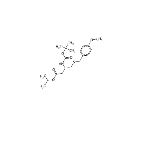 COc1ccc(CSC[C@H](CC(=O)OC(C)C)NC(=O)OC(C)(C)C)cc1